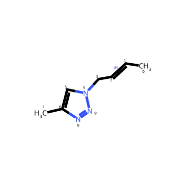 C/C=C/Cn1cc(C)nn1